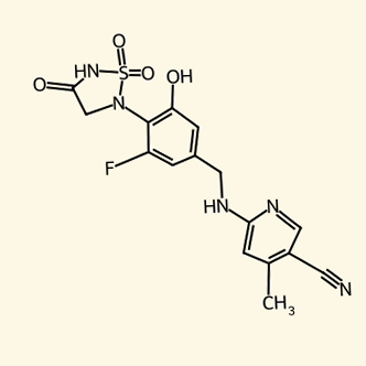 Cc1cc(NCc2cc(O)c(N3CC(=O)NS3(=O)=O)c(F)c2)ncc1C#N